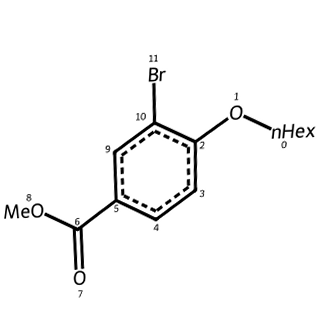 CCCCCCOc1ccc(C(=O)OC)cc1Br